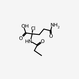 CCC(=O)N[C@@](Cl)(CCC(N)=O)C(=O)O